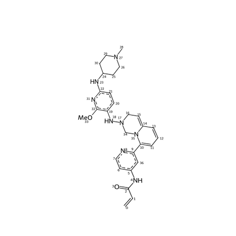 C=CC(=O)Nc1ccnc(C2=CC=CC3=CCN(Nc4ccc(NC5CCN(C)CC5)nc4OC)CN32)c1